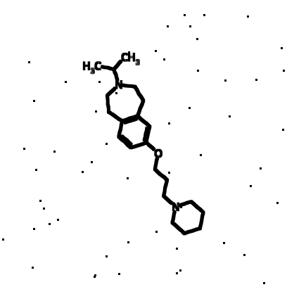 CC(C)N1CCc2ccc(OCCCN3CCCCC3)cc2CC1